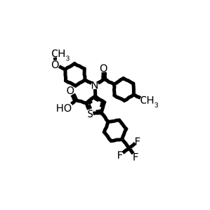 COC1CCC(N(C(=O)C2CCC(C)CC2)c2cc(C3CCC(C(F)(F)F)CC3)sc2C(=O)O)CC1